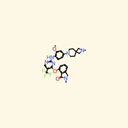 COc1cc(N2CCC3(CC2)CN(C)C3)ccc1Nc1ncc(C(F)(F)F)c(Oc2cccc3c2C(=O)N(C)C3)n1